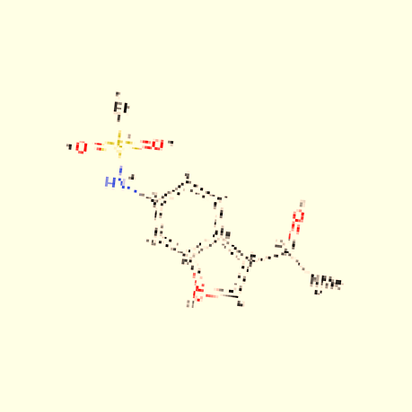 CCS(=O)(=O)Nc1ccc2c(C(=O)NC)coc2c1